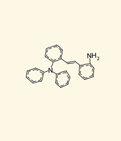 Nc1ccccc1C=Cc1ccccc1N(c1ccccc1)c1ccccc1